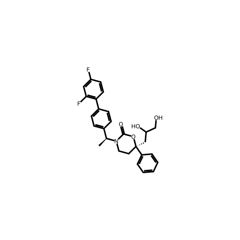 C[C@@H](c1ccc(-c2ccc(F)cc2F)cc1)N1CC[C@](CC(O)CO)(c2ccccc2)OC1=O